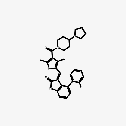 Cc1[nH]c(/C=C2\C(=O)Nc3cccc(-c4ccccc4Cl)c32)c(C)c1C(=O)N1CCC(N2CCCC2)CC1